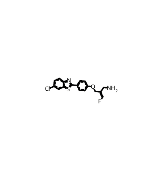 NC/C(=C/F)COc1ccc(-c2nc3ccc(Cl)cc3s2)cc1